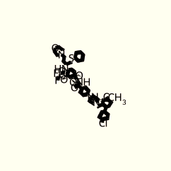 CC1(C)CCC(c2ccc(Cl)cc2)=C(CN2CCN(c3ccc(C(=O)NS(=O)(=O)c4ccc(NC(CCN5CCOCC5)CSc5ccccc5)c(S(=O)(=O)C(F)F)c4)cc3)CC2)C1